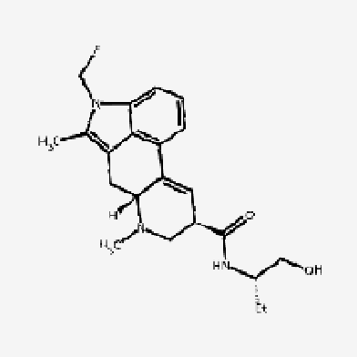 CC[C@@H](CO)NC(=O)[C@@H]1C=C2c3cccc4c3c(c(C)n4CF)C[C@H]2N(C)C1